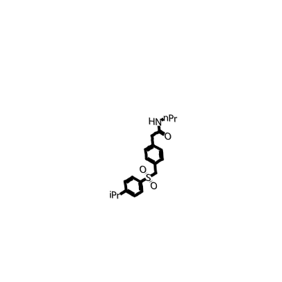 CCCNC(=O)Cc1ccc(CS(=O)(=O)c2ccc(C(C)C)cc2)cc1